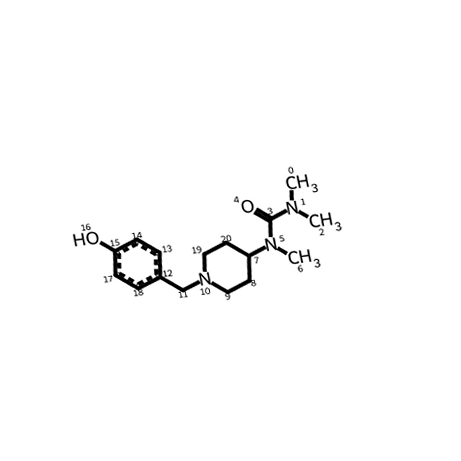 CN(C)C(=O)N(C)C1CCN(Cc2ccc(O)cc2)CC1